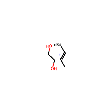 C/C=C/CCCC.OCCO